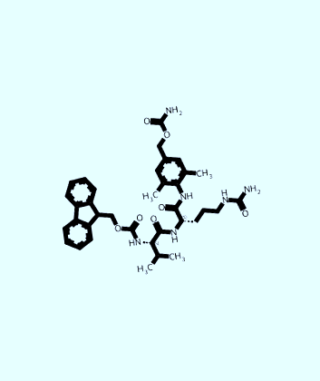 Cc1cc(COC(N)=O)cc(C)c1NC(=O)[C@H](CCCNC(N)=O)NC(=O)[C@@H](NC(=O)OCC1c2ccccc2-c2ccccc21)C(C)C